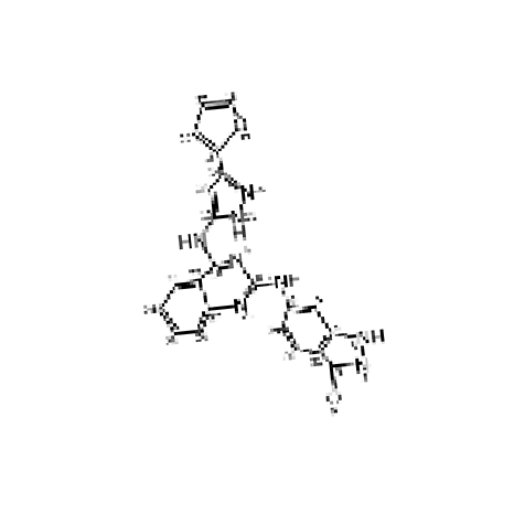 O=C1[N]Nc2cc(Nc3nc(Nc4cc(-c5ccco5)n[nH]4)c4ccccc4n3)ccc21